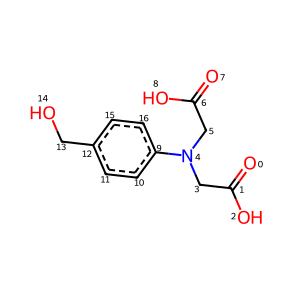 O=C(O)CN(CC(=O)O)c1ccc(CO)cc1